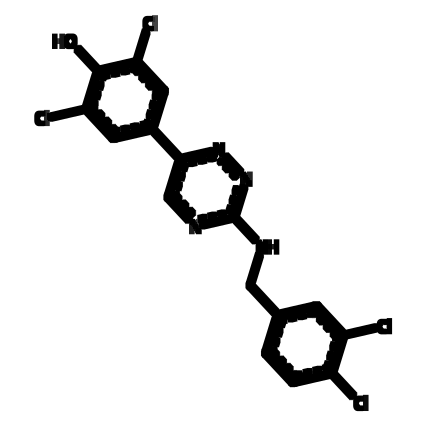 Oc1c(Cl)cc(-c2cnc(NCc3ccc(Cl)c(Cl)c3)nn2)cc1Cl